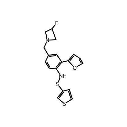 FC1CN(Cc2ccc(NSc3ccsc3)c(-c3ccco3)c2)C1